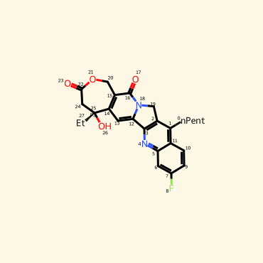 CCCCCc1c2c(nc3cc(F)ccc13)-c1cc3c(c(=O)n1C2)COC(=O)C[C@]3(O)CC